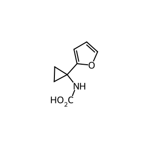 O=C(O)NC1(c2ccco2)CC1